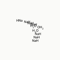 O.O.O.[NaH].[NaH].[NaH].[NaH].[NaH].[NaH].[NaH]